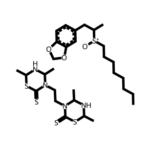 CC1NC(C)N(CCN2C(=S)SC(C)NC2C)C(=S)S1.CCCCCCCC[S+]([O-])C(C)Cc1ccc2c(c1)OCO2